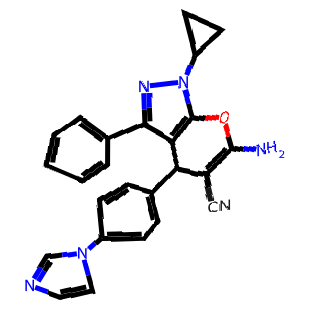 N#CC1=C(N)Oc2c(c(-c3ccccc3)nn2C2CC2)C1c1ccc(-n2ccnc2)cc1